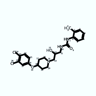 Cc1ccccc1NC(=O)NCC(O)CN1CCC(Oc2ccc(Cl)c(Cl)c2)CC1